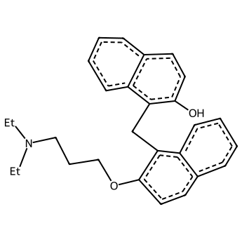 CCN(CC)CCCOc1ccc2ccccc2c1Cc1c(O)ccc2ccccc12